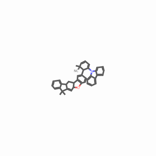 CC1(C)C2=CC3Oc4ccc(C5C(n6c7ccccc7c7ccccc76)=CC=CC5(C)C#N)cc4C3CC2c2ccccc21